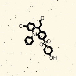 O=CCC(c1ccc(S(=O)(=O)N2CCC(O)CC2)cc1)c1ccc(Cl)cc1Nc1ccccc1